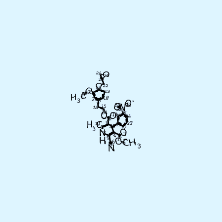 COC(=O)C1=C(C#N)NC(C)=C(C(=O)OCCc2ccc(OCC3CO3)c(OC)c2)C1c1cccc([N+](=O)[O-])c1